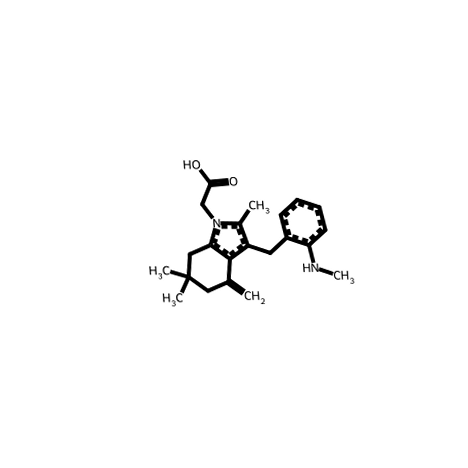 C=C1CC(C)(C)Cc2c1c(Cc1ccccc1NC)c(C)n2CC(=O)O